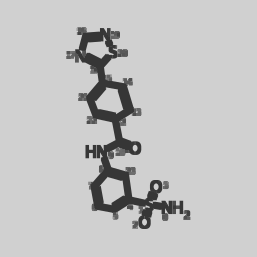 NS(=O)(=O)c1cccc(NC(=O)c2ccc(-c3ncns3)cc2)c1